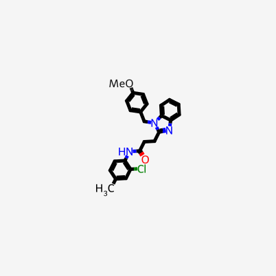 COc1ccc(Cn2c(CCC(=O)Nc3ccc(C)cc3Cl)nc3ccccc32)cc1